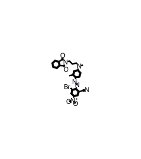 Cc1cc(N(C)CCCN2C(=O)c3ccccc3C2=O)ccc1/N=N/c1c(Br)cc([N+](=O)[O-])cc1C#N